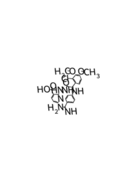 COc1ccc(C(Nc2ccc(C(=N)N)cc2)C(=O)NNc2ncccc2C(=O)O)c(Cl)c1OC